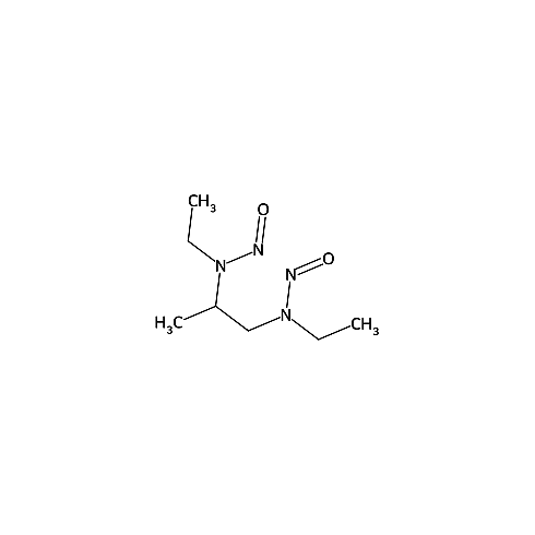 CCN(CC(C)N(CC)N=O)N=O